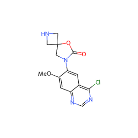 COc1cc2ncnc(Cl)c2cc1N1CC2(CNC2)OC1=O